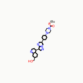 CC(C)(C)OC(=O)N1CCN(c2ccc(-c3cnc4c(-c5ccnc6cc(CO)ccc56)cnn4c3)cc2)CC1